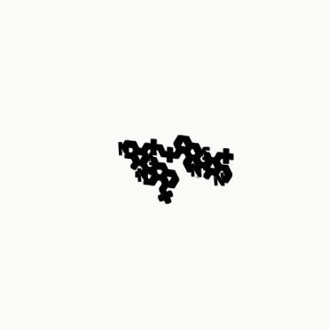 Cc1c2c(c(CC(C)(C)CCC(C)(C)Cc3cccc4cc5c6c([n+](C)ccc6c34)-c3c(c(CC(C)(C)C)c4cccnc4c3C)S5)c3ccncc13)Sc1cc3cccc(CC(C)(C)C)c3c3cc[n+](C)c-2c13